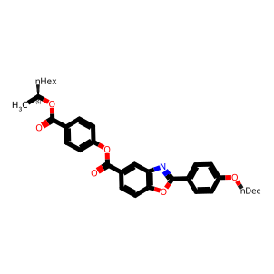 CCCCCCCCCCOc1ccc(-c2nc3cc(C(=O)Oc4ccc(C(=O)O[C@@H](C)CCCCCC)cc4)ccc3o2)cc1